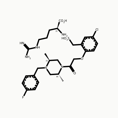 C[C@@H]1CN(Cc2ccc(F)cc2)[C@@H](C)CN1C(=O)COc1ccc(Cl)cc1CS(=O)(=O)O.N=C(N)NCCC[C@H](N)C(=O)O